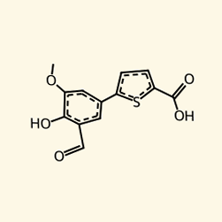 COc1cc(-c2ccc(C(=O)O)s2)cc(C=O)c1O